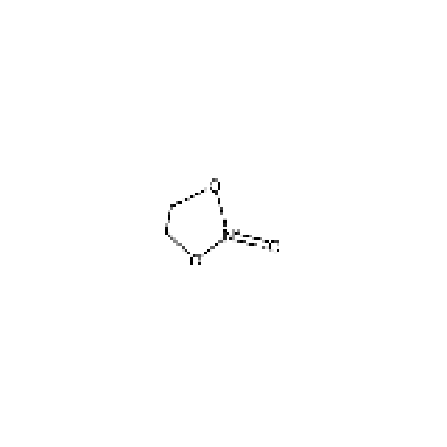 O=[N+]1OCCO1